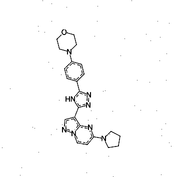 c1cc(N2CCOCC2)ccc1-c1nnc(-c2cnn3ccc(N4CCCC4)nc23)[nH]1